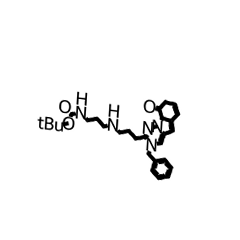 CC(C)(C)OC(=O)NCCCNCCCC1=NN2C(=CN1Cc1ccccc1)C=C1C=CCC(=O)C12